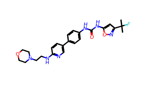 CC(C)(F)c1cc(NC(=O)Nc2ccc(-c3ccc(NCCN4CCOCC4)nc3)cc2)on1